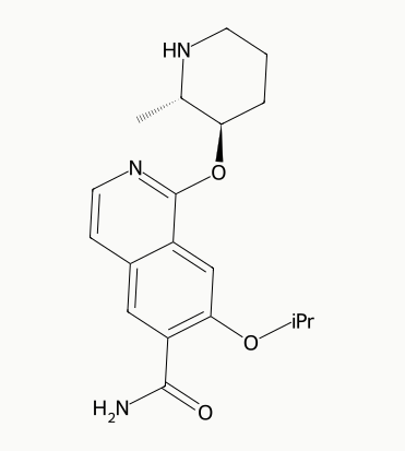 CC(C)Oc1cc2c(O[C@@H]3CCCN[C@H]3C)nccc2cc1C(N)=O